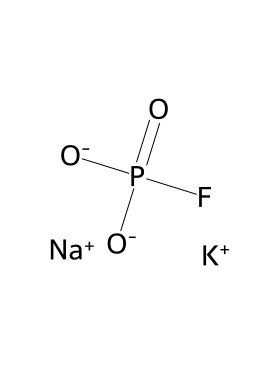 O=P([O-])([O-])F.[K+].[Na+]